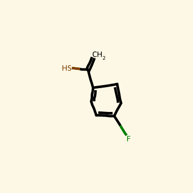 C=C(S)c1ccc(F)cc1